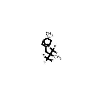 C[C@@H]1CC2CC1CC2CC(C)(C(F)(F)F)C(F)(F)F